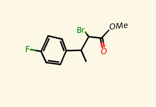 COC(=O)C(Br)C(C)c1ccc(F)cc1